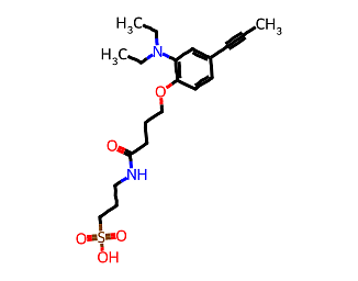 CC#Cc1ccc(OCCCC(=O)NCCCS(=O)(=O)O)c(N(CC)CC)c1